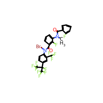 CN(C(=O)c1ccccc1F)c1cccc(C(=O)N(Br)c2ccc(C(F)(C(F)(F)F)C(F)(F)F)cc2C(F)(F)F)c1F